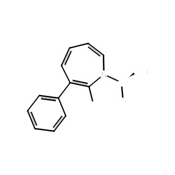 CC(C)(C)[S@@+]([O-])N1C=CC=CC(c2ccccc2)=C1C(=O)O